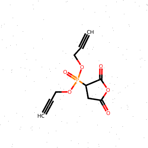 C#CCOP(=O)(OCC#C)C1CC(=O)OC1=O